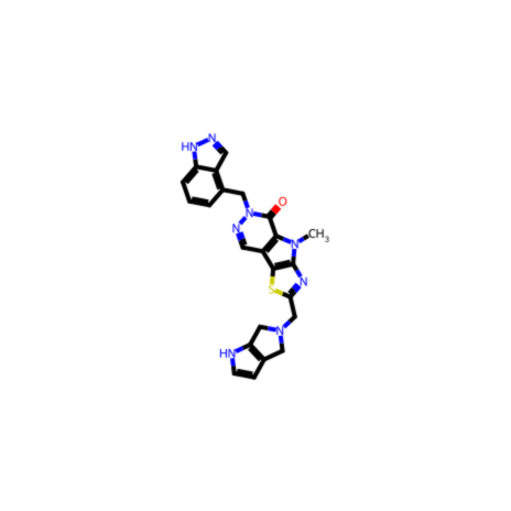 Cn1c2nc(CN3Cc4cc[nH]c4C3)sc2c2cnn(Cc3cccc4[nH]ncc34)c(=O)c21